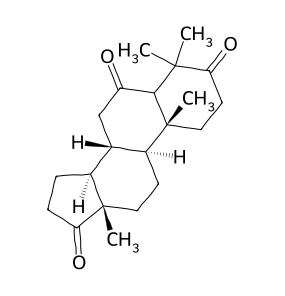 CC1(C)C(=O)CC[C@@]2(C)C1C(=O)C[C@@H]1[C@@H]2CC[C@]2(C)C(=O)CC[C@@H]12